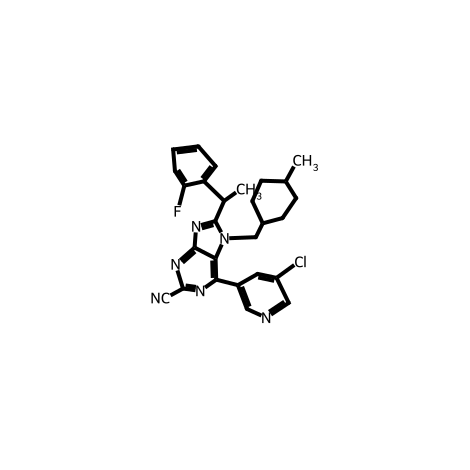 CC1CCC(Cn2c(C(C)c3ccccc3F)nc3nc(C#N)nc(-c4cncc(Cl)c4)c32)CC1